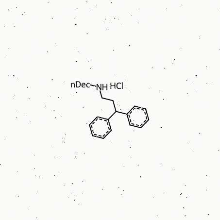 CCCCCCCCCCNCCC(c1ccccc1)c1ccccc1.Cl